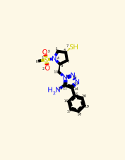 CS(=O)(=O)N1C[C@H](S)C[C@H]1Cn1nnc(-c2ccccc2)c1N